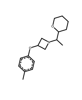 Cc1ccc(OC2CN(C(C)C3CCCCO3)C2)cc1